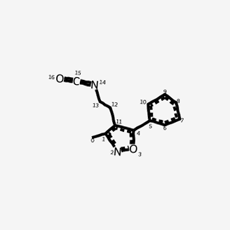 Cc1noc(-c2ccccc2)c1CCN=C=O